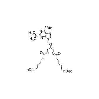 CCCCCCCCCCCCCCCC(=O)OCC(COC(=O)CCCCCCCCCCCCCCC)OCn1cnc2c(SC)nc(N(C)C)nc21